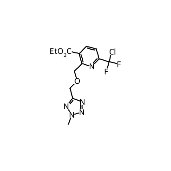 CCOC(=O)c1ccc(C(F)(F)Cl)nc1COCc1nnn(C)n1